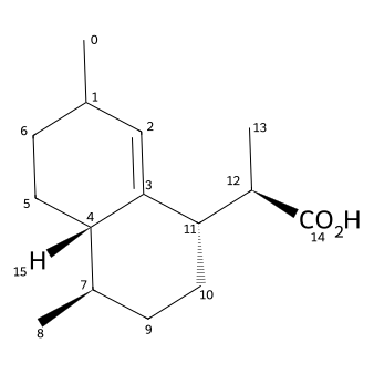 CC1C=C2[C@@H](CC1)[C@H](C)CC[C@H]2[C@@H](C)C(=O)O